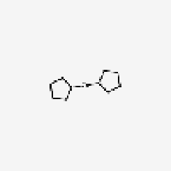 C1CC[CH]([Zn][CH]2CCCC2)C1